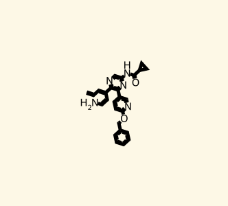 C=C/C=C(\C=C/N)c1ncc(NC(=O)C2CC2)nc1-c1ccc(OCc2ccccc2)nc1